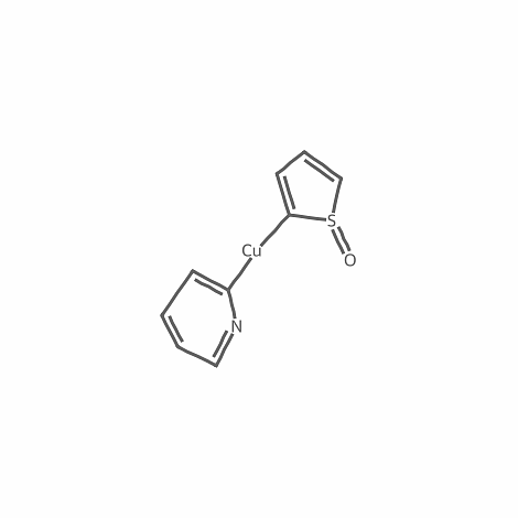 O=S1C=CC=[C]1[Cu][c]1ccccn1